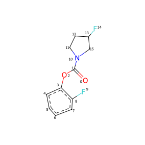 O=C(Oc1ccccc1F)N1CCC(F)C1